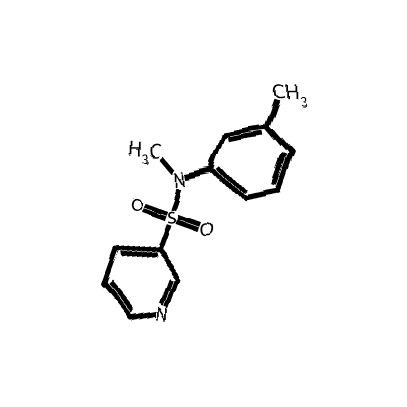 Cc1cccc(N(C)S(=O)(=O)c2cccnc2)c1